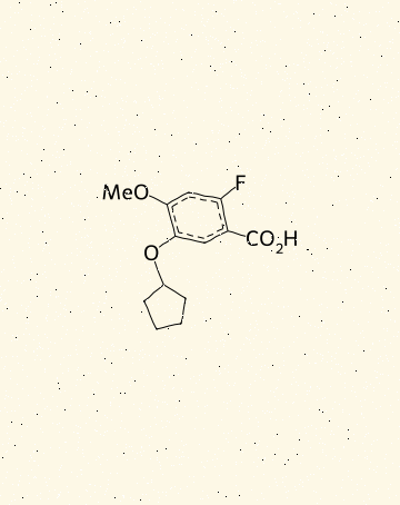 COc1cc(F)c(C(=O)O)cc1OC1CCCC1